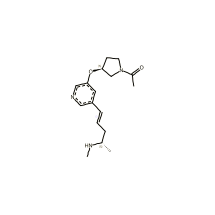 CN[C@@H](C)C/C=C/c1cncc(O[C@H]2CCN(C(C)=O)C2)c1